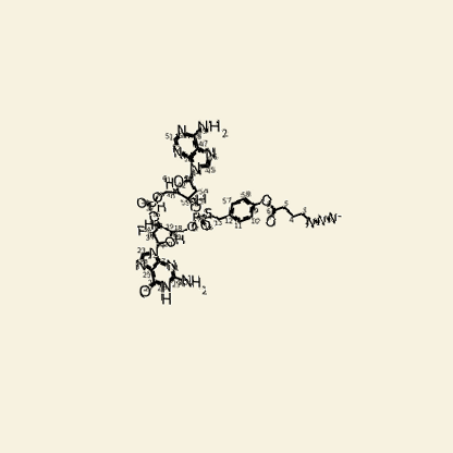 [N-]=[N+]=NCCCC(=O)Oc1ccc(CS[P@@]2(=O)OC[C@H]3O[C@@H](n4cnc5c(=O)[nH]c(N)nc54)[C@H](F)[C@@H]3O[PH](=O)OC[C@H]3O[C@@H](n4cnc5c(N)ncnc54)C[C@@H]3O2)cc1